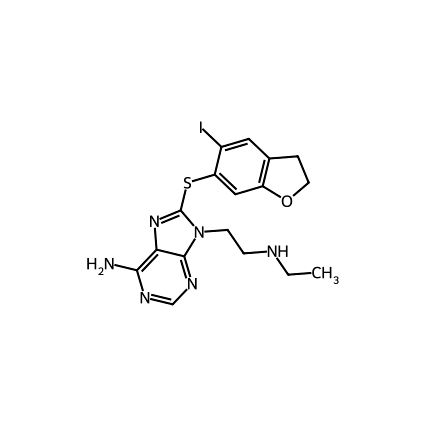 CCNCCn1c(Sc2cc3c(cc2I)CCO3)nc2c(N)ncnc21